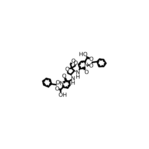 O=CC1(C=O)OC[C@@H](Nc2ccc(C(=O)O)n(OCc3ccccc3)c2=O)[C@H]1Nc1ccc(C(=O)O)n(OCc2ccccc2)c1=O